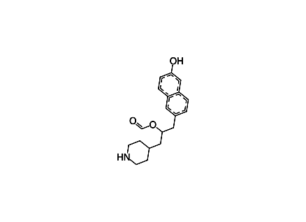 O=COC(Cc1ccc2cc(O)ccc2c1)CC1CCNCC1